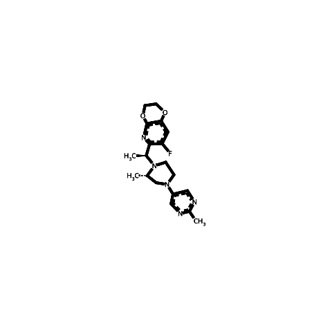 Cc1ncc(N2CCN([C@@H](C)c3nc4c(cc3F)OCCO4)[C@@H](C)C2)cn1